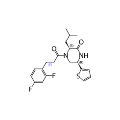 CC(C)C[C@H]1C(=O)N[C@@H](c2cccs2)CN1C(=O)/C=C/c1ccc(F)cc1F